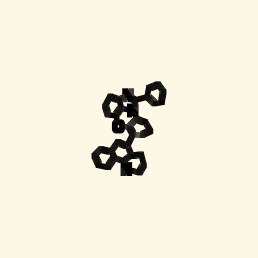 c1ccc(-c2nc3cccc4c3n2-c2cccc(-c3cc5ccccc5c5ncccc35)c2O4)cc1